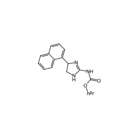 CCCOC(=O)NC1=NC(c2cccc3ccccc23)CN1